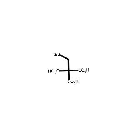 CC(C)(C)CC(C(=O)O)(C(=O)O)C(=O)O